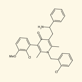 COc1cccc(-c2c(C)n(Cc3ccccc3Cl)c(C)c(CC(N)c3ccccc3)c2=O)c1Cl